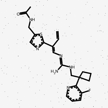 C=C/C(=C\N=C(/N)NCC1(c2ncccc2F)CCC1)c1ncc(CNC(C)=O)s1